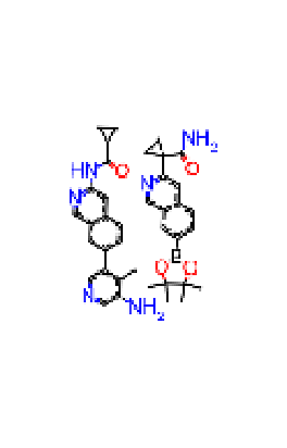 CC1(C)OB(c2ccc3cc(C4(C(N)=O)CC4)ncc3c2)OC1(C)C.Cc1c(N)cncc1-c1ccc2cc(NC(=O)C3CC3)ncc2c1